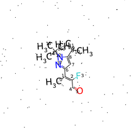 CC(=C(F)C=O)c1cc(C(C)C)n(C(C)(C)C)n1